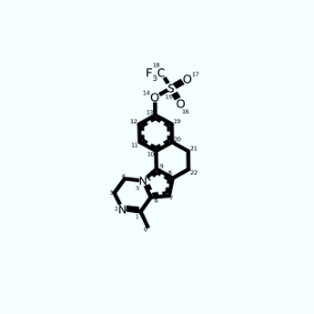 CC1=NCCn2c1cc1c2-c2ccc(OS(=O)(=O)C(F)(F)F)cc2CC1